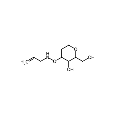 C=CCNOC1C[CH]OC(CO)C1O